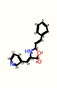 O=C1OC(/C=C/c2ccccc2)N/C1=C\c1cccnc1